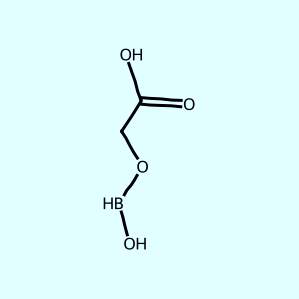 O=C(O)COBO